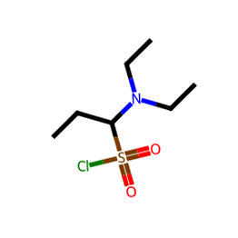 CCC(N(CC)CC)S(=O)(=O)Cl